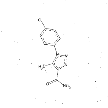 Cc1c(C(N)=O)nnn1-c1ccc(Cl)cc1